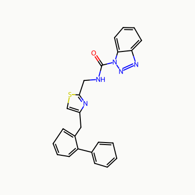 O=C(NCc1nc(Cc2ccccc2-c2ccccc2)cs1)n1nnc2ccccc21